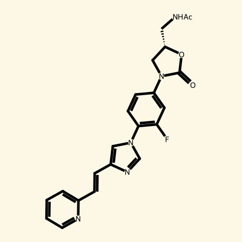 CC(=O)NC[C@H]1CN(c2ccc(-n3cnc(/C=C/c4ccccn4)c3)c(F)c2)C(=O)O1